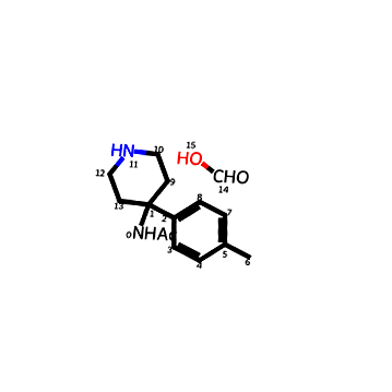 CC(=O)NC1(c2ccc(C)cc2)CCNCC1.O=CO